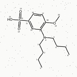 CCCCN(CCCC)c1cc(S(=O)(=O)O)ccc1OC